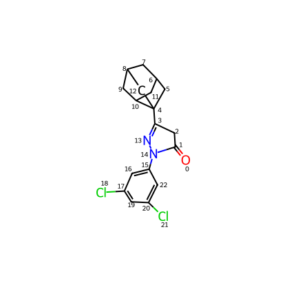 O=C1CC(C23CC4CC(CC2C4)C3)=NN1c1cc(Cl)cc(Cl)c1